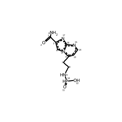 NC(=O)c1cn2c(CCN[PH](=O)O)ccnc2n1